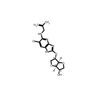 C=C(C)CNc1nc2nc(O[C@@H]3CO[C@H]4[C@@H]3OC[C@H]4O)[nH]c2cc1Cl